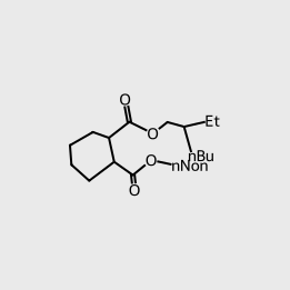 CCCCCCCCCOC(=O)C1CCCCC1C(=O)OCC(CC)CCCC